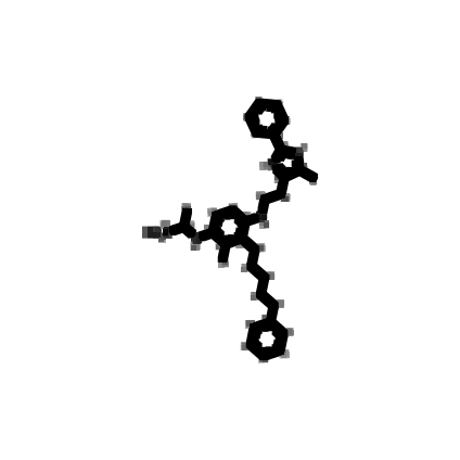 Cc1oc(-c2ccccc2)nc1CCOc1ccc(OC(C)C(=O)O)c(C)c1CCCCCc1ccccc1